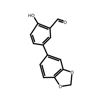 O=Cc1cc(-c2ccc3c(c2)OCO3)ccc1O